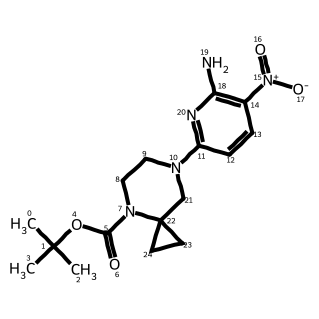 CC(C)(C)OC(=O)N1CCN(c2ccc([N+](=O)[O-])c(N)n2)CC12CC2